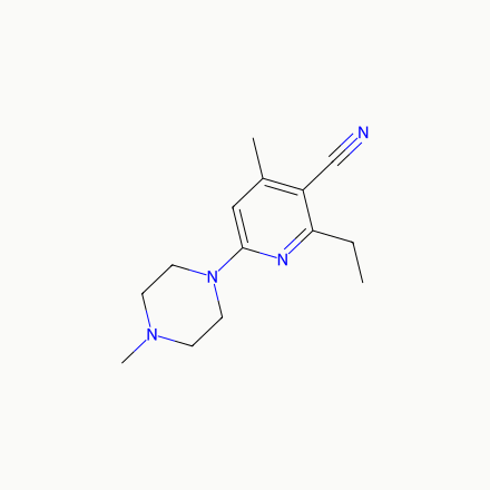 CCc1nc(N2CCN(C)CC2)cc(C)c1C#N